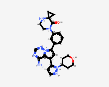 Nc1ncnn2c(-c3cccc(N4CCNC5(CC5)C4=O)c3)cc(-c3ccnn3C3CCOCC3)c12